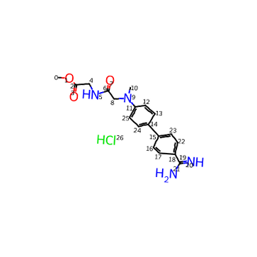 COC(=O)CNC(=O)CN(C)c1ccc(-c2ccc(C(=N)N)cc2)cc1.Cl